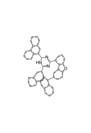 c1ccc2cc(C3=NC(c4cccc5oc6ccc(-c7cccc8ccccc78)cc6c45)=NC(c4cc5ccccc5c5ccccc45)N3)ccc2c1